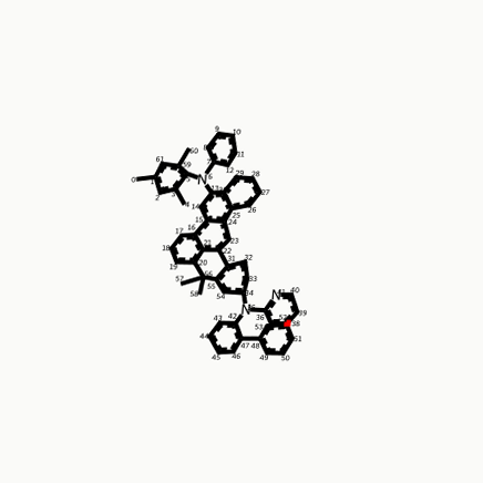 Cc1cc(C)c(N(c2ccccc2)c2cc3c4cccc5c4c(cc3c3ccccc23)-c2ccc(N(c3ccccn3)c3ccccc3-c3ccccc3)cc2C5(C)C)c(C)c1